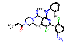 C=CC(=O)N1CCN(/C(=N/C)c2cc(Cl)c(-c3cc(N)ccc3Cl)nc2N(C=O)c2ccccc2C(C)C)C(C)C1